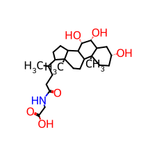 CC(CCC(=O)NCC(=O)O)C1CCC2C3C(CC[C@]12C)[C@@]1(C)CC[C@@H](O)CC1[C@@H](O)[C@H]3O